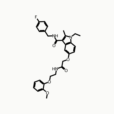 CCn1c(C)c(C(=O)NCc2ccc(F)cc2)c2cc(OCC(=O)NCCOc3ccccc3OC)ccc21